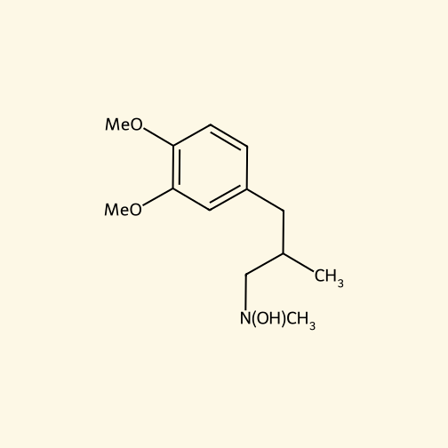 COc1ccc(CC(C)CN(C)O)cc1OC